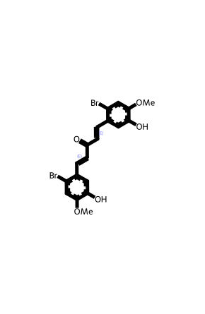 COc1cc(Br)c(/C=C/C(=O)/C=C/c2cc(O)c(OC)cc2Br)cc1O